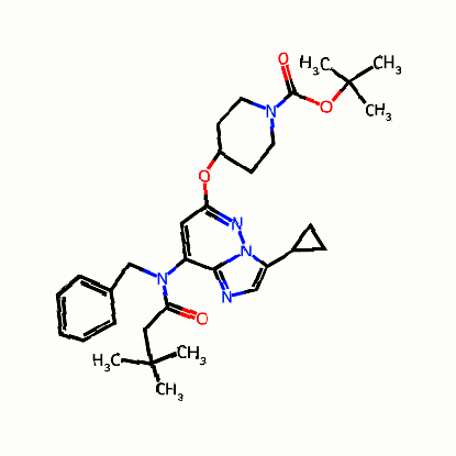 CC(C)(C)CC(=O)N(Cc1ccccc1)c1cc(OC2CCN(C(=O)OC(C)(C)C)CC2)nn2c(C3CC3)cnc12